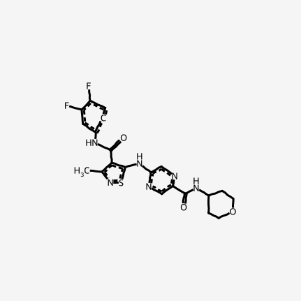 Cc1nsc(Nc2cnc(C(=O)NC3CCOCC3)cn2)c1C(=O)Nc1ccc(F)c(F)c1